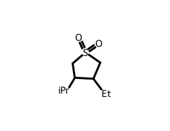 CCC1CS(=O)(=O)CC1C(C)C